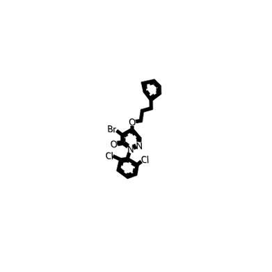 O=c1c(Br)c(OCCCc2ccccc2)cnn1-c1c(Cl)cccc1Cl